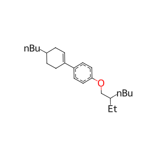 CCCCC1CC=C(c2ccc(OCC(CC)CCCC)cc2)CC1